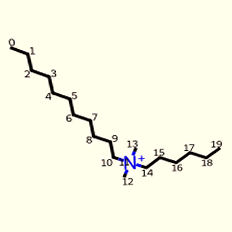 CCCCCCCCCCC[N+](C)(C)CCCCCC